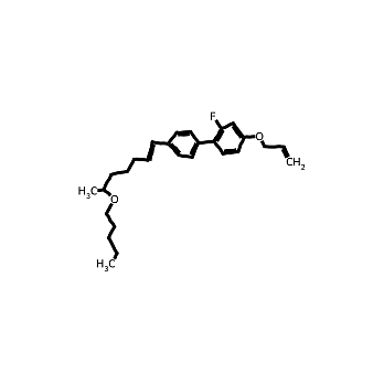 C=CCOc1ccc(-c2ccc(/C=C/CCCC(C)OCCCCC)cc2)c(F)c1